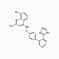 Cc1cc(NCc2ccc(-c3ccccc3-c3nnn[nH]3)cc2)c2cccc(C(C)C)c2n1